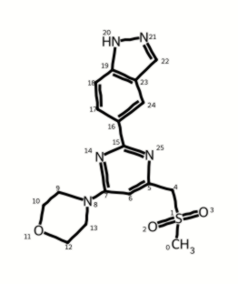 CS(=O)(=O)Cc1cc(N2CCOCC2)nc(-c2ccc3[nH]ncc3c2)n1